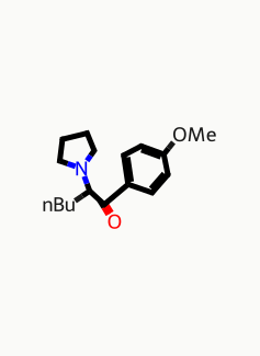 CCCCC(C(=O)c1ccc(OC)cc1)N1CCCC1